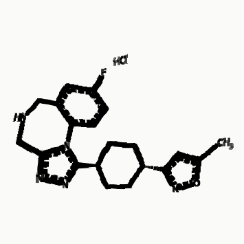 Cc1cc([C@H]2CC[C@H](c3nnc4n3-c3ccc(F)cc3CNC4)CC2)no1.Cl